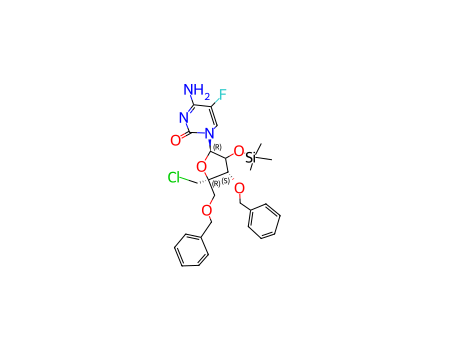 C[Si](C)(C)OC1[C@H](n2cc(F)c(N)nc2=O)O[C@](CCl)(COCc2ccccc2)[C@H]1OCc1ccccc1